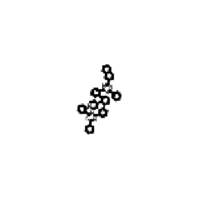 c1ccc(-c2nc(-c3ccccc3)nc(-c3cccc(-c4cccc(-c5ccccc5-c5nc(-c6ccccc6)nc(-c6ccc7ccccc7c6)n5)c4-c4ccncc4)c3)n2)cc1